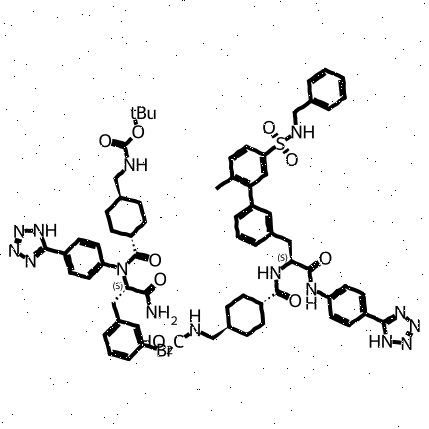 CC(C)(C)OC(=O)NC[C@H]1CC[C@H](C(=O)N(c2ccc(-c3nnn[nH]3)cc2)[C@@H](Cc2cccc(Br)c2)C(N)=O)CC1.Cc1ccc(S(=O)(=O)NCc2ccccc2)cc1-c1cccc(C[C@H](NC(=O)[C@H]2CC[C@H](CNC(=O)O)CC2)C(=O)Nc2ccc(-c3nnn[nH]3)cc2)c1